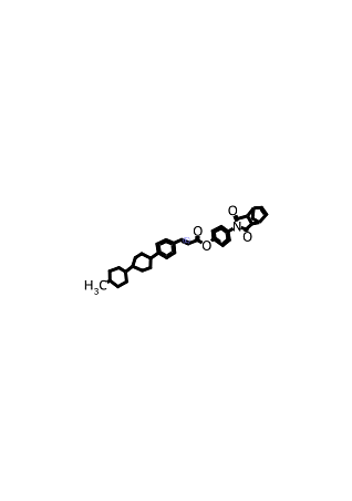 CC1CCC(C2CCC(c3ccc(/C=C/C(=O)Oc4ccc(N5C(=O)C6C7C=CC(C7)C6C5=O)cc4)cc3)CC2)CC1